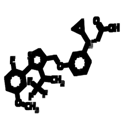 C=C(c1c(COc2cccc([C@@H](CC(=O)O)C3CC3)c2)csc1-c1cc(OC)ccc1F)C(F)(F)F